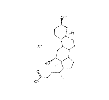 C[C@H](CCC(=O)[O-])[C@H]1CCC2C3CC[C@@H]4C[C@H](O)CC[C@]4(C)C3C[C@H](O)[C@@]21C.[K+]